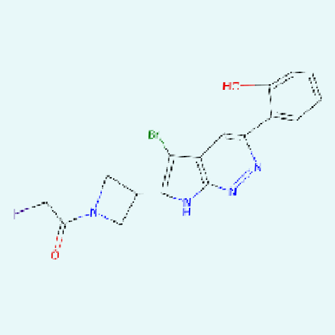 O=C(CI)N1CC(c2[nH]c3nnc(-c4ccccc4O)cc3c2Br)C1